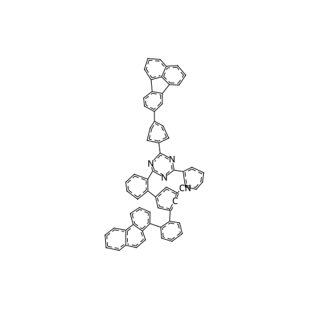 N#Cc1cc(-c2ccccc2-c2nc(-c3ccccc3)nc(-c3ccc(-c4ccc5c(c4)-c4cccc6cccc-5c46)cc3)n2)cc(-c2ccccc2-c2cccc3c2ccc2ccccc23)c1